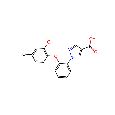 Cc1ccc(Oc2ccccc2-n2cc(C(=O)O)cn2)c(O)c1